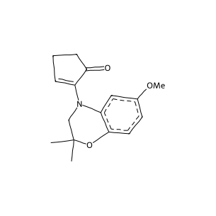 COc1ccc2c(c1)N(C1=CCCC1=O)CC(C)(C)O2